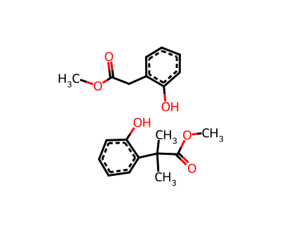 COC(=O)C(C)(C)c1ccccc1O.COC(=O)Cc1ccccc1O